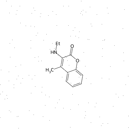 CCNc1c(C)c2ccccc2oc1=O